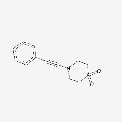 O=S1(=O)CCN(C#Cc2ccccc2)CC1